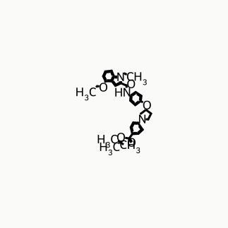 CCOc1cccc2c1cc(C(=O)Nc1ccc(OC3CCN(c4ccc(C(=O)OC(C)(C)C)cc4)C3)cc1)n2CC